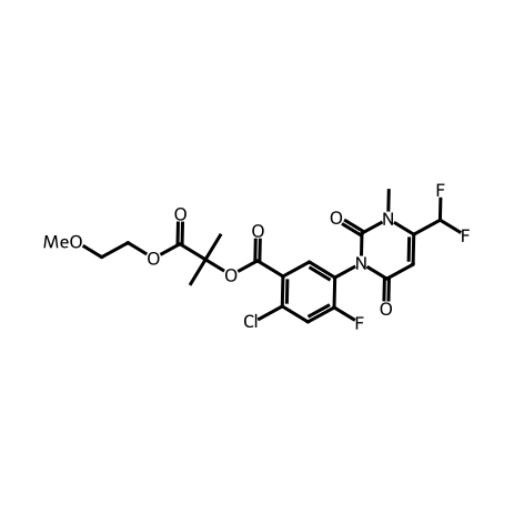 COCCOC(=O)C(C)(C)OC(=O)c1cc(-n2c(=O)cc(C(F)F)n(C)c2=O)c(F)cc1Cl